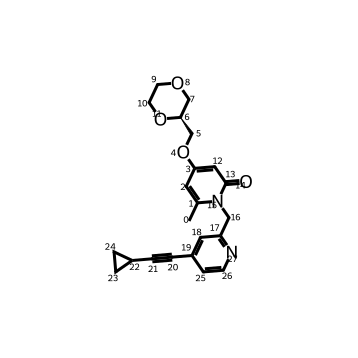 Cc1cc(OC[C@@H]2COCCO2)cc(=O)n1Cc1cc(C#CC2CC2)ccn1